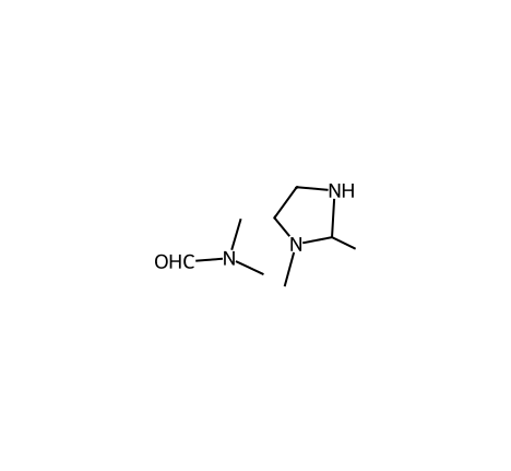 CC1NCCN1C.CN(C)C=O